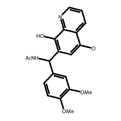 COc1ccc(C(NC(C)=O)c2cc(Cl)c3cccnc3c2O)cc1OC